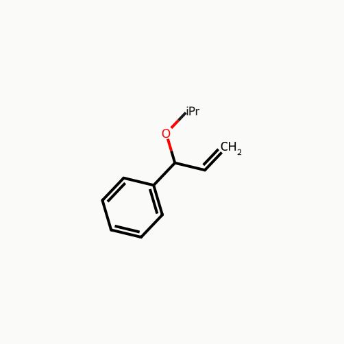 C=CC(OC(C)C)c1ccccc1